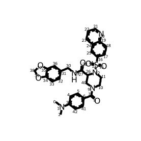 CN(C)c1ccc(C(=O)N2CCN(S(=O)(=O)c3ccc4ncccc4c3)C(C(=O)NCc3ccc4c(c3)OCO4)C2)cc1